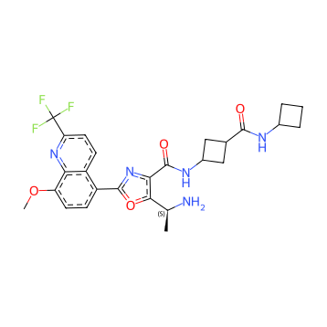 COc1ccc(-c2nc(C(=O)NC3CC(C(=O)NC4CCC4)C3)c([C@H](C)N)o2)c2ccc(C(F)(F)F)nc12